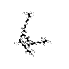 C=C(C)C(=O)OCCOCCNC(=O)OC(COCC(C)OCC(COC(=O)C(=C)C)OC(=O)NCCOCCOC(=O)C(=C)C)COC(=O)C(=C)C